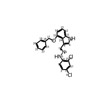 Clc1ccc(NN=Cc2c[nH]c3cccc(OCc4ccccc4)c23)c(Cl)c1